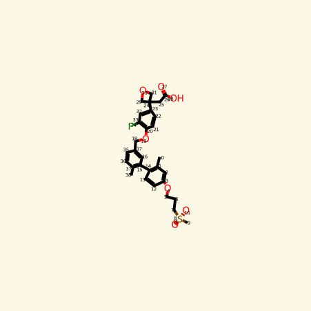 Cc1cc(OCCCS(C)(=O)=O)ccc1-c1cc(COc2ccc(C3(CC(=O)O)COC3)cc2F)ccc1C